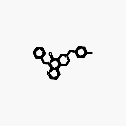 Cc1ccc(CN2CCc3c(c(=O)n(Cc4ccccc4)c4ncccc34)C2)cc1